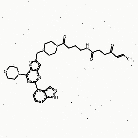 CC=CC(=O)CCC(=O)NCCCC(=O)N1CCN(Cc2cc3nc(-c4cccc5[nH]ncc45)nc(N4CCOCC4)c3s2)CC1